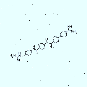 N=C(N)NCc1ccc(NC(=O)c2ccc(C(=O)Nc3ccc(N4CCN(C(=N)N)CC4)cc3)cc2)cc1